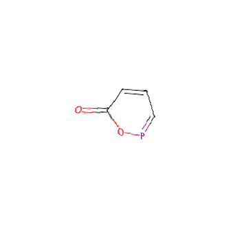 O=c1cccpo1